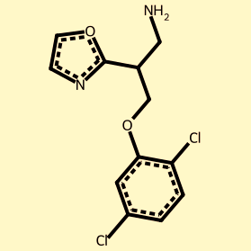 NCC(COc1cc(Cl)ccc1Cl)c1ncco1